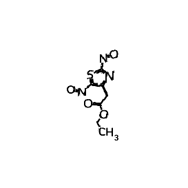 CCOC(=O)Cc1nc(N=O)sc1N=O